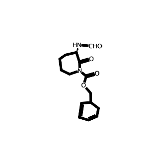 O=[C]N[C@H]1CCCCN(C(=O)OCC2C=CC=CC2)C1=O